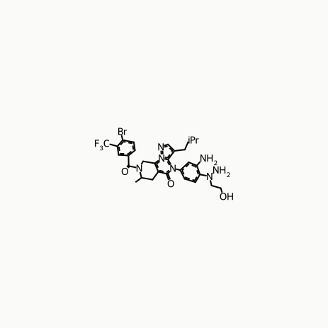 CC(C)Cc1cnn2c3c(c(=O)n(-c4ccc(N(N)CCO)c(N)c4)c12)CC(C)N(C(=O)c1ccc(Br)c(C(F)(F)F)c1)C3